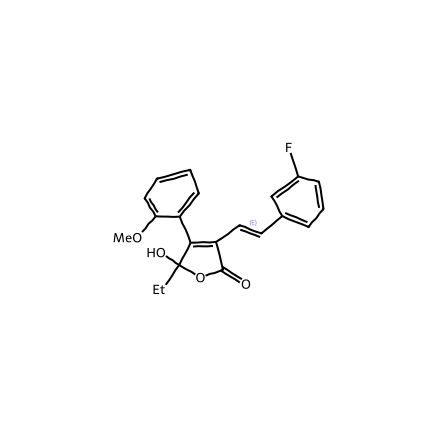 CCC1(O)OC(=O)C(/C=C/c2cccc(F)c2)=C1c1ccccc1OC